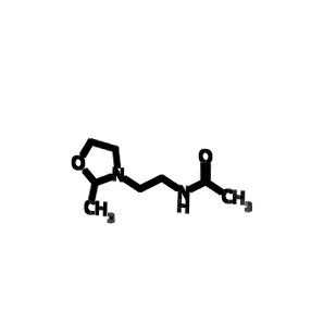 CC(=O)NCCN1CCOC1C